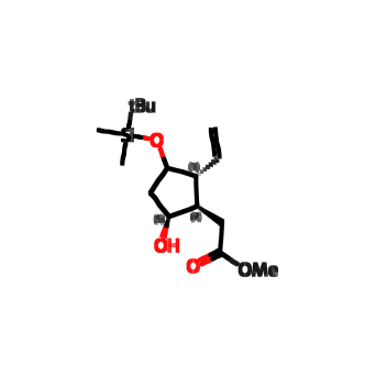 C=C[C@H]1C(O[Si](C)(C)C(C)(C)C)C[C@H](O)[C@@H]1CC(=O)OC